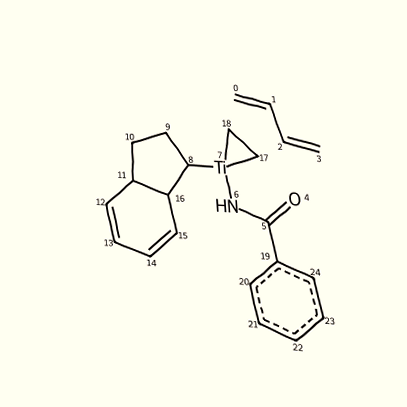 C=CC=C.O=C([NH][Ti]1([CH]2CCC3C=CC=CC32)[CH2][CH2]1)c1ccccc1